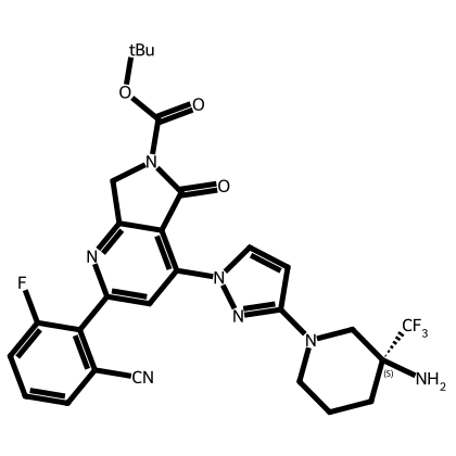 CC(C)(C)OC(=O)N1Cc2nc(-c3c(F)cccc3C#N)cc(-n3ccc(N4CCC[C@@](N)(C(F)(F)F)C4)n3)c2C1=O